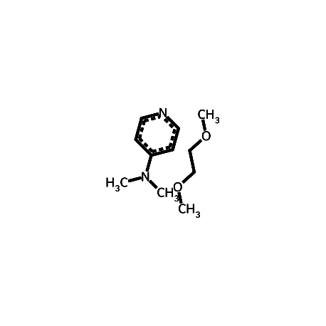 CN(C)c1ccncc1.COCCOC